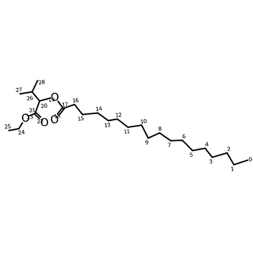 CCCCCCCCCCCCCCCCCC(=O)OC(C(=O)OCC)C(C)C